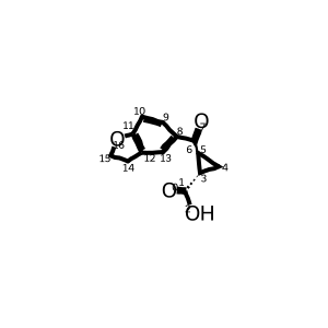 O=C(O)[C@H]1C[C@@H]1C(=O)c1ccc2c(c1)CCO2